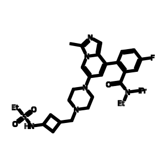 CCN(C(=O)c1cc(F)ccc1-c1cc(N2CCN(CC3CC(NS(=O)(=O)CC)C3)CC2)cn2c(C)ncc12)C(C)C